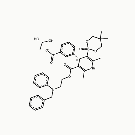 CC1=C(C(=O)OCCN(Cc2ccccc2)c2ccccc2)[C@H](c2cccc([N+](=O)[O-])c2)C(P2(=O)OCC(C)(C)CO2)=C(C)N1.CCO.Cl